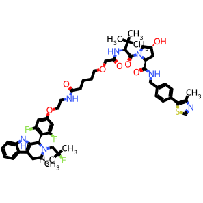 Cc1ncsc1-c1ccc(CNC(=O)[C@@H]2C[C@@H](O)CN2C(=O)[C@@H](NC(=O)COCCCCC(=O)NCCOc2cc(F)c([C@@H]3c4[nH]c5ccccc5c4C[C@@H](C)N3CC(C)(C)F)c(F)c2)C(C)(C)C)cc1